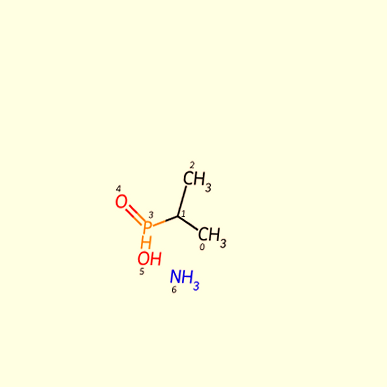 CC(C)[PH](=O)O.N